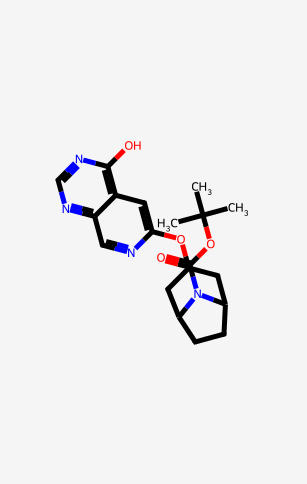 CC(C)(C)OC(=O)N1C2CCC1CC(Oc1cc3c(O)ncnc3cn1)C2